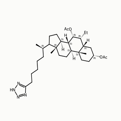 CC[C@H]1[C@@H](OC(C)=O)[C@@H]2[C@H](CC[C@]3(C)C([C@H](C)CCCCCc4nn[nH]n4)CC[C@@H]23)[C@@]2(C)CC[C@@H](OC(C)=O)C[C@@H]12